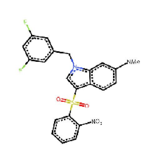 CNc1ccc2c(S(=O)(=O)c3ccccc3[N+](=O)[O-])cn(Cc3cc(F)cc(F)c3)c2c1